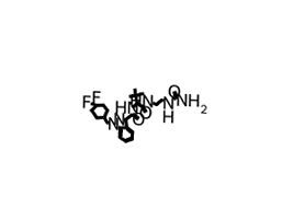 CC(C)(C)C(NC(=O)c1nn(CC2CCC(F)(F)CC2)c2ccccc12)C(=O)NCCNC(N)=O